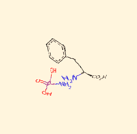 NP(=O)(O)O.N[C@@H](Cc1ccccc1)C(=O)O